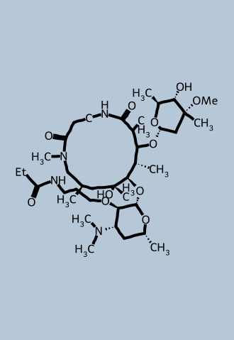 CCC(=O)NCCCO[C@H]1[C@H](O[C@@H]2[C@@H](C)C(O[C@H]3C[C@@](C)(OC)[C@@H](O)[C@H](C)O3)C(C)C(=O)NCCC(=O)N(C)C[C@H](C)C[C@@]2(C)O)O[C@H](C)C[C@@H]1N(C)C